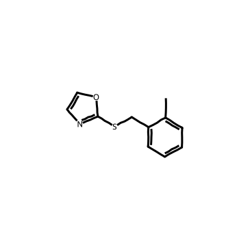 Cc1ccccc1CSc1ncco1